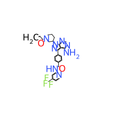 C=CC(=O)N1CCCC(n2nc(-c3ccc(C(=O)Nc4cc(C(F)(F)F)ccn4)cc3)c3c(N)ncnc32)C1